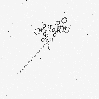 CCCCCCCCCCCCCCC(CCC)NC(=O)OOC(C(=O)N1CCCCC1)C(COC(=O)NCC1=CC=CCN1C(=O)c1ccccc1OC)OC